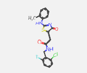 Cc1ccccc1NC1=NC(=O)C(CC(=O)NCc2c(F)cccc2Cl)S1